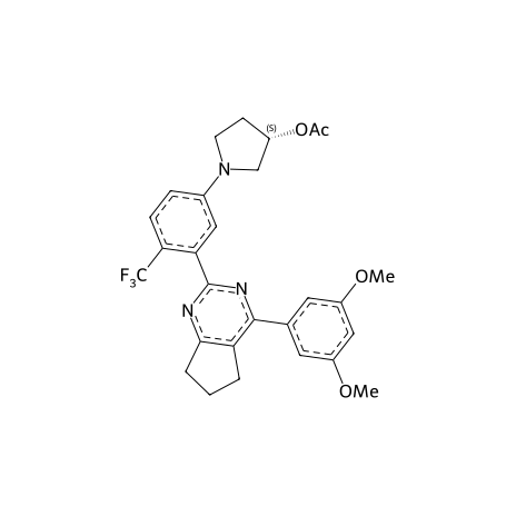 COc1cc(OC)cc(-c2nc(-c3cc(N4CC[C@H](OC(C)=O)C4)ccc3C(F)(F)F)nc3c2CCC3)c1